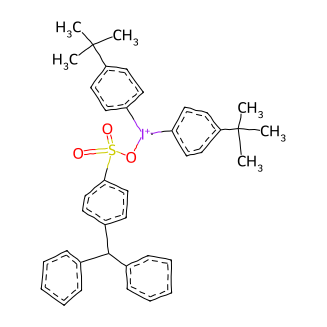 CC(C)(C)c1ccc([I+](OS(=O)(=O)c2ccc(C(c3ccccc3)c3ccccc3)cc2)c2ccc(C(C)(C)C)cc2)cc1